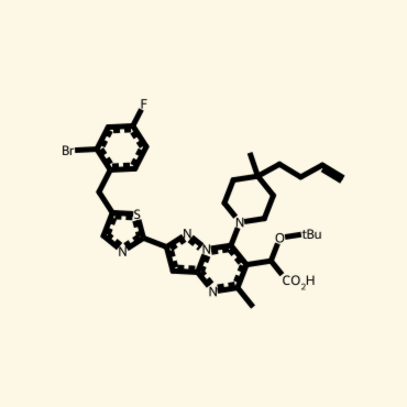 C=CCCC1(C)CCN(c2c(C(OC(C)(C)C)C(=O)O)c(C)nc3cc(-c4ncc(Cc5ccc(F)cc5Br)s4)nn23)CC1